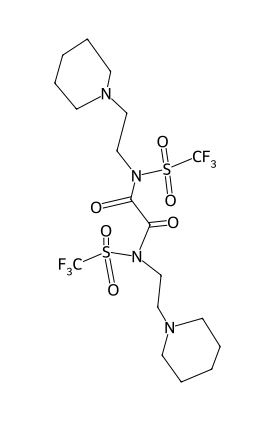 O=C(C(=O)N(CCN1CCCCC1)S(=O)(=O)C(F)(F)F)N(CCN1CCCCC1)S(=O)(=O)C(F)(F)F